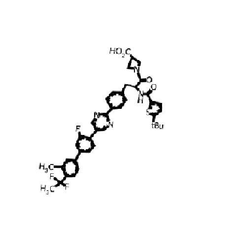 Cc1cc(-c2ccc(-c3cnc(-c4ccc(C[C@H](NC(=O)c5ccc(C(C)(C)C)s5)C(=O)N5CC(C(=O)O)C5)cc4)nc3)c(F)c2)ccc1C(C)(F)F